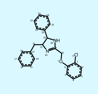 Clc1ccccc1OCC1=NC(Cc2ccccc2)C(c2ccccc2)N1